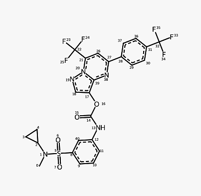 CN(C1CC1)S(=O)(=O)c1cccc(NC(=O)Oc2cnn3c(C(F)(F)F)cc(-c4ccc(C(F)(F)F)cc4)nc23)c1